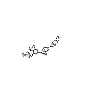 COC(=O)Cn1cc(-c2ccn3c(-c4cc(OC)c(C(=O)NCC(F)(F)F)c(OC)c4)cnc3c2)cn1